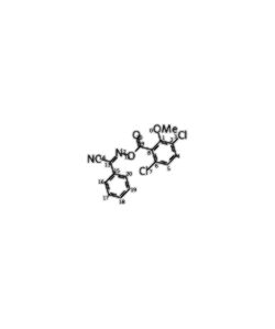 COc1c(Cl)ccc(Cl)c1C(=O)ON=C(C#N)c1ccccc1